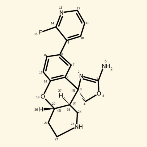 NC1=N[C@]2(CO1)c1cc(-c3cccnc3F)ccc1O[C@H]1CCNC[C@@H]12